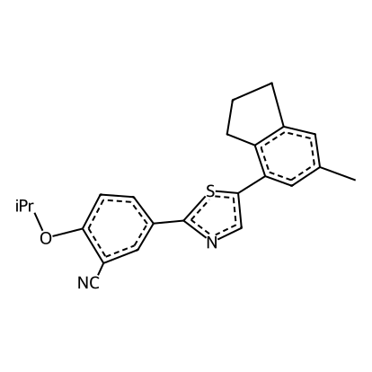 Cc1cc2c(c(-c3cnc(-c4ccc(OC(C)C)c(C#N)c4)s3)c1)CCC2